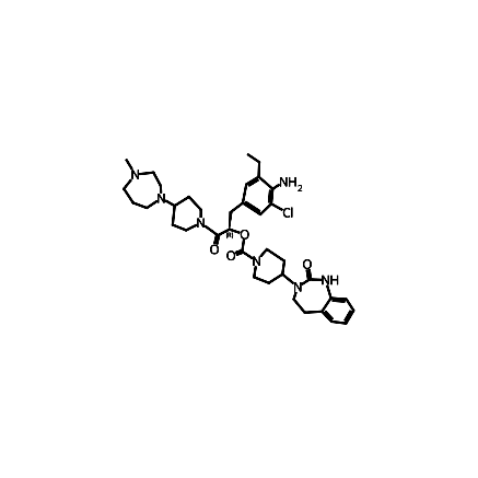 CCc1cc(C[C@@H](OC(=O)N2CCC(N3CCc4ccccc4NC3=O)CC2)C(=O)N2CCC(N3CCCN(C)CC3)CC2)cc(Cl)c1N